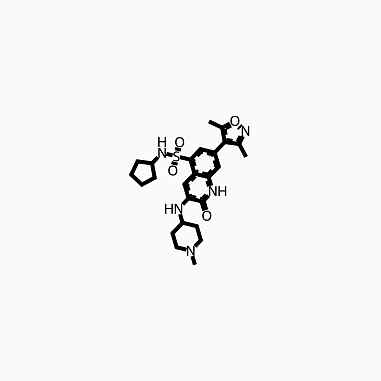 Cc1noc(C)c1-c1cc(S(=O)(=O)NC2CCCC2)c2cc(NC3CCN(C)CC3)c(=O)[nH]c2c1